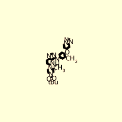 Cc1cc(Nc2ncnc3ccc(N4CCN(C(=O)OC(C)(C)C)C[C@@H]4C)nc23)ccc1Oc1ccn2ncnc2c1